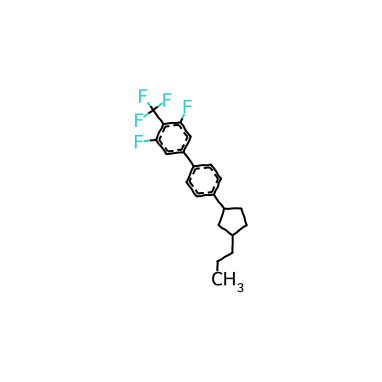 CCCC1CCC(c2ccc(-c3cc(F)c(C(F)(F)F)c(F)c3)cc2)C1